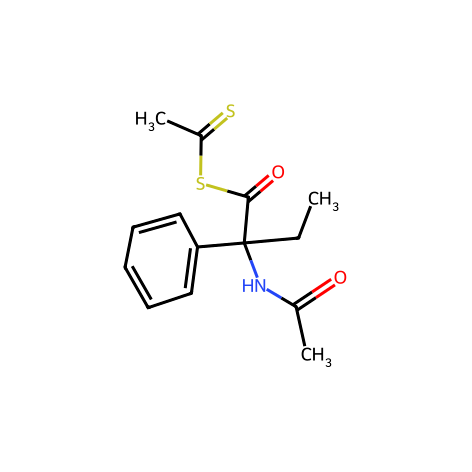 CCC(NC(C)=O)(C(=O)SC(C)=S)c1ccccc1